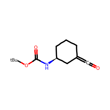 CC(C)(C)OC(=O)N[C@H]1CCCC(=C=O)C1